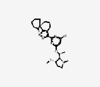 CO[C@H]1CCN(C)[C@@H]1[C@H](C)Oc1cc(Cl)nc(-c2onc3c2CCC[C@@]32CCCCC2=O)n1